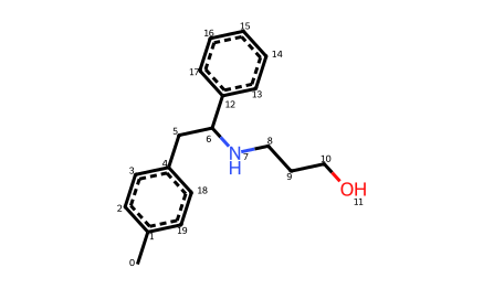 Cc1ccc(CC(NCCCO)c2ccccc2)cc1